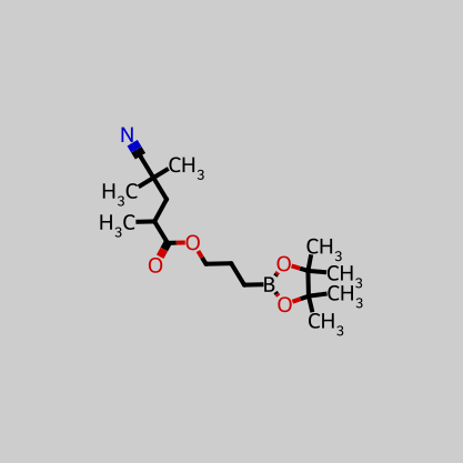 CC(CC(C)(C)C#N)C(=O)OCCCB1OC(C)(C)C(C)(C)O1